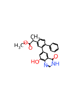 COC(=O)C(C)c1ccc(-c2ccccc2)c(-c2cc(O)c3nc[nH]c(=O)c3c2)c1